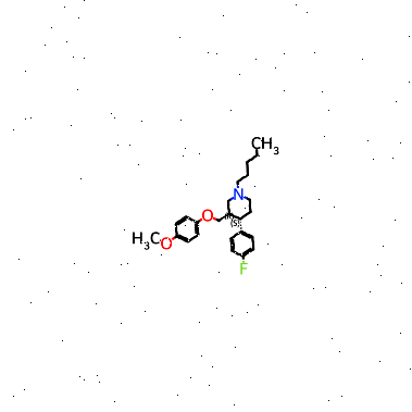 CCCCCN1CC[C@H](c2ccc(F)cc2)[C@@H](COc2ccc(OC)cc2)C1